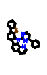 c1ccc(-c2ccnc(-n3c4c(ccc5cccnc54)c4ccc5c6ccccc6sc5c43)n2)cc1